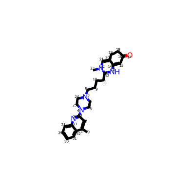 Cc1cc(N2CCN(CCCCC3NC4=CC(=O)CCC4=CN3C)CC2)nc2ccccc12